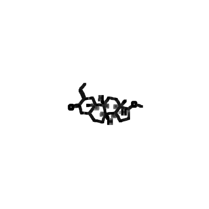 CC=C1C[C@@]2(C)C(CC[C@@H]3[C@H]2CC[C@]2(C)C(OC)CC[C@@H]32)CC1=O